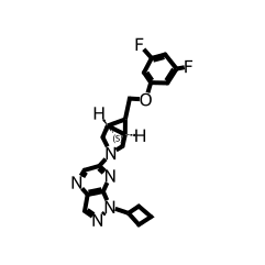 Fc1cc(F)cc(OCC2[C@H]3CN(c4cnc5cnn(C6CCC6)c5n4)C[C@@H]23)c1